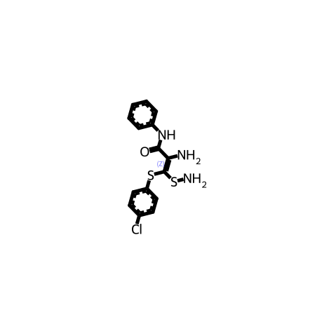 NS/C(Sc1ccc(Cl)cc1)=C(\N)C(=O)Nc1ccccc1